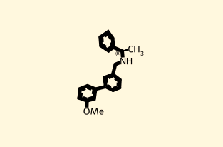 COc1cccc(-c2cccc(CN[C@H](C)c3ccccc3)c2)c1